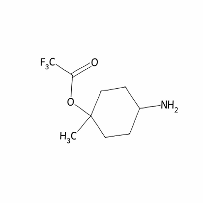 CC1(OC(=O)C(F)(F)F)CCC(N)CC1